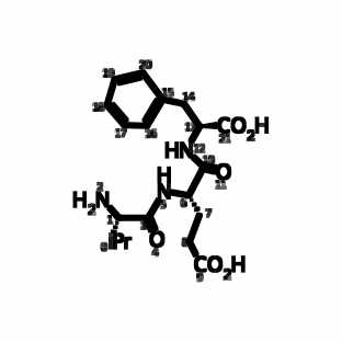 CC(C)[C@H](N)C(=O)N[C@@H](CCC(=O)O)C(=O)N[C@@H](Cc1ccccc1)C(=O)O